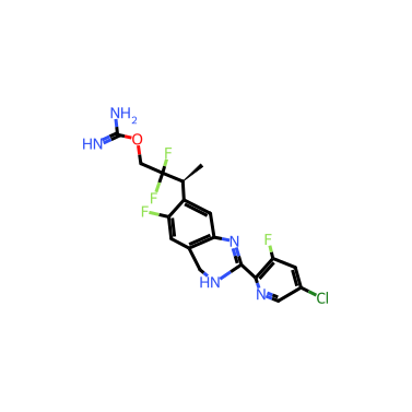 C[C@@H](c1cc2c(cc1F)CNC(c1ncc(Cl)cc1F)=N2)C(F)(F)COC(=N)N